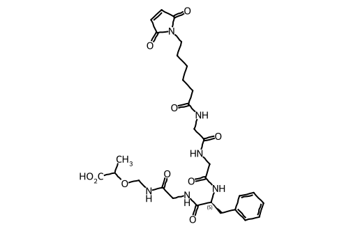 CC(OCNC(=O)CNC(=O)[C@H](Cc1ccccc1)NC(=O)CNC(=O)CNC(=O)CCCCCN1C(=O)C=CC1=O)C(=O)O